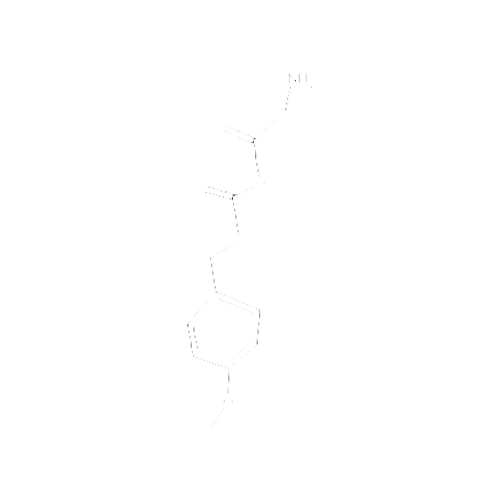 COc1ccc(COC(=O)OC(=O)CN)cc1